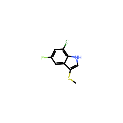 CSc1c[nH]c2c(Cl)cc(F)cc12